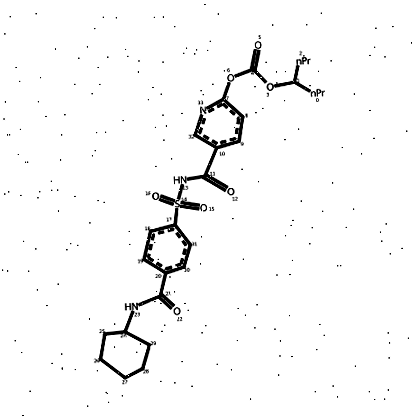 CCCC(CCC)OC(=O)Oc1ccc(C(=O)NS(=O)(=O)c2ccc(C(=O)NC3CCCCC3)cc2)cn1